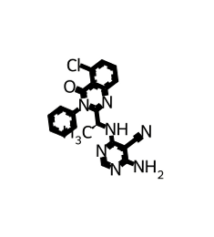 C[C@@H](Nc1ncnc(N)c1C#N)c1nc2cccc(Cl)c2c(=O)n1-c1ccccc1